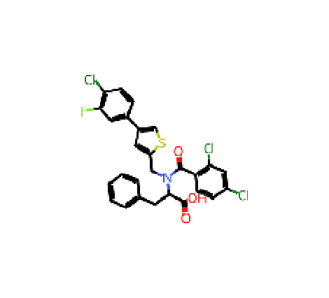 O=C(O)C(Cc1ccccc1)N(Cc1cc(-c2ccc(Cl)c(F)c2)cs1)C(=O)c1ccc(Cl)cc1Cl